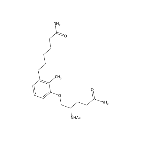 CC(=O)N[C@@H](CCC(N)=O)COc1cccc(CCCCCC(N)=O)c1C